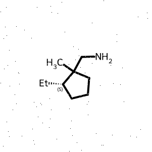 CC[C@H]1CCCC1(C)CN